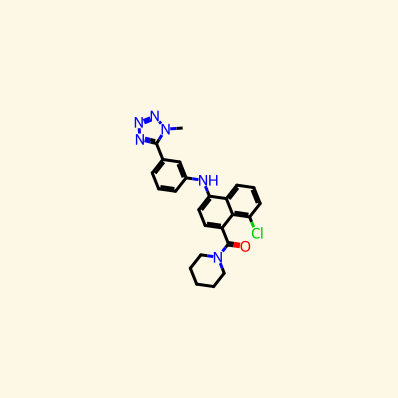 Cn1nnnc1-c1cccc(Nc2ccc(C(=O)N3CCCCC3)c3c(Cl)cccc23)c1